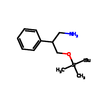 CC(C)(C)[Si](C)(C)OCC(CN)c1ccccc1